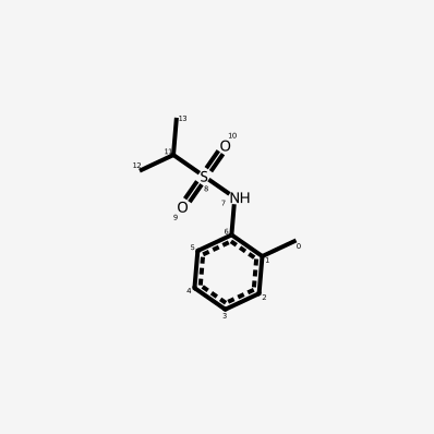 Cc1ccccc1NS(=O)(=O)C(C)C